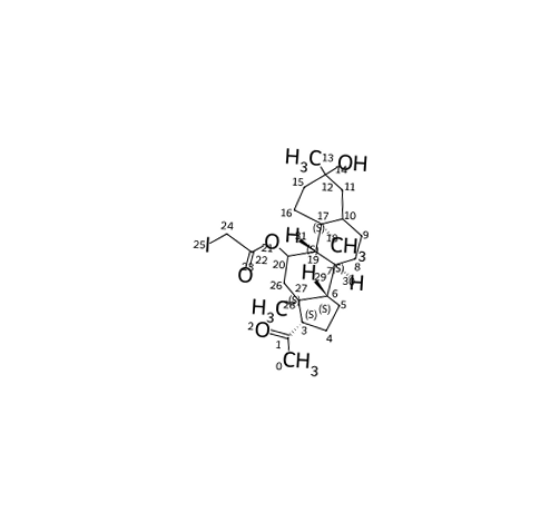 CC(=O)[C@H]1CC[C@H]2[C@@H]3CCC4CC(C)(O)CC[C@]4(C)[C@H]3C(OC(=O)CI)C[C@]12C